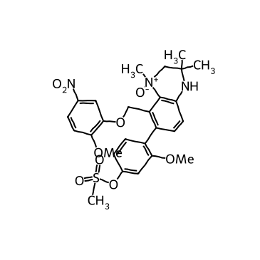 COc1ccc([N+](=O)[O-])cc1OCc1c(-c2ccc(OS(C)(=O)=O)cc2OC)ccc2c1[N+](C)([O-])CC(C)(C)N2